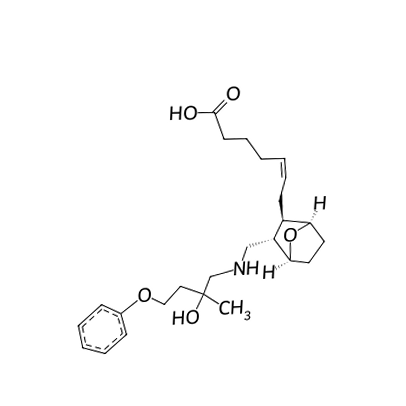 CC(O)(CCOc1ccccc1)CNC[C@@H]1[C@@H](C/C=C\CCCC(=O)O)[C@H]2CC[C@@H]1O2